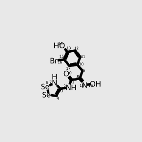 O=C(NC1=C[Se][Se]N1)/C(Cc1ccc(O)c(Br)c1)=N/O